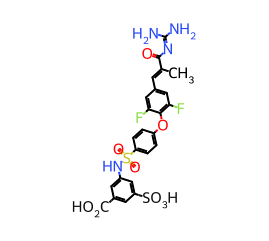 C/C(=C\c1cc(F)c(Oc2ccc(S(=O)(=O)Nc3cc(C(=O)O)cc(S(=O)(=O)O)c3)cc2)c(F)c1)C(=O)N=C(N)N